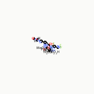 COC(=O)N[C@H](C(=O)N[C@@H](Cc1ccc(-c2ccc(N3C[C@H]4C[C@@H]3CN4C3COC3)nc2)cc1)[C@@H](O)CN(Cc1c(F)cc(-c2ccn(C(F)F)n2)cc1F)NC(=O)[C@@H](NC(=O)O)C(C)(C)C(F)(F)F)C(C)(C)C(F)(F)F